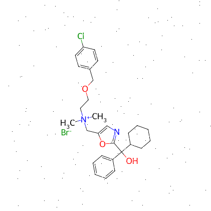 C[N+](C)(CCOCc1ccc(Cl)cc1)Cc1cnc(C(O)(c2ccccc2)C2CCCCC2)o1.[Br-]